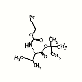 CC(C)[C@H](NC(=O)OCCBr)C(=O)OC(C)(C)C